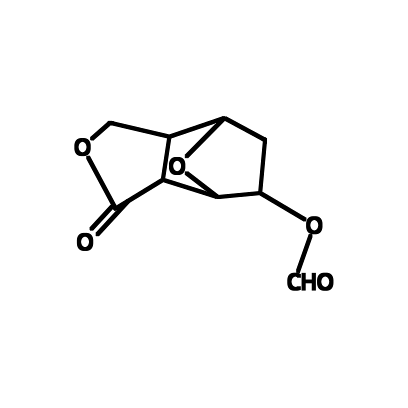 O=COC1CC2OC1C1C(=O)OCC21